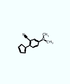 CN(C)c1ccc(C2=CC=CC2)c(C#N)c1